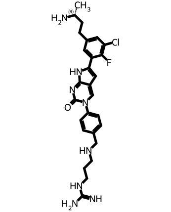 C[C@@H](N)CCc1cc(Cl)c(F)c(-c2cc3cn(-c4ccc(CNCCCNC(=N)N)cc4)c(=O)nc3[nH]2)c1